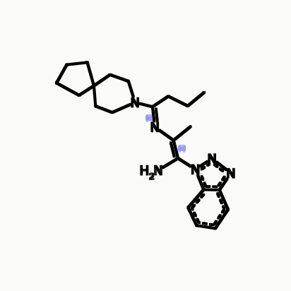 CCC/C(=N\C(C)=C(/N)n1nnc2ccccc21)N1CCC2(CCCC2)CC1